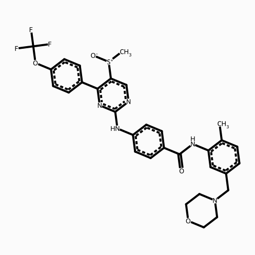 Cc1ccc(CN2CCOCC2)cc1NC(=O)c1ccc(Nc2ncc([S+](C)[O-])c(-c3ccc(OC(F)(F)F)cc3)n2)cc1